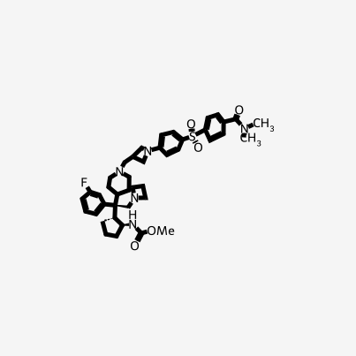 COC(=O)N[C@H]1CCC[C@@H]1[C@](CN1CCC1)(c1cccc(F)c1)C1CCN(CC2CN(c3ccc(S(=O)(=O)c4ccc(C(=O)N(C)C)cc4)cc3)C2)CC1